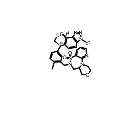 CCn1nnc2c(C)c([C@H](CC(=O)O)c3ccc(C)c(CN4CC5COCCN5c5ncccc5S4(=O)=O)c3)ccc21